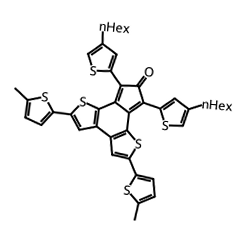 CCCCCCc1csc(C2=c3c(c4sc(-c5ccc(C)s5)cc4c4cc(-c5ccc(C)s5)sc34)=C(c3cc(CCCCCC)cs3)C2=O)c1